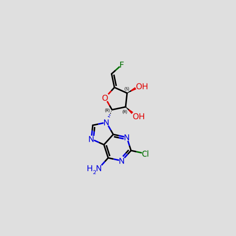 Nc1nc(Cl)nc2c1ncn2[C@@H]1OC(=CF)[C@@H](O)[C@H]1O